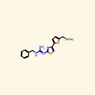 CC(=O)NCc1ccc(-c2csc(/N=C(\N)NCc3ccccc3)n2)o1